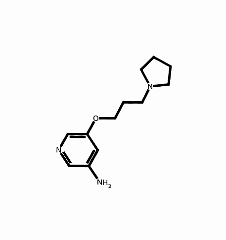 Nc1cncc(OCCCN2CCCC2)c1